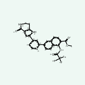 COC(=O)c1ccc2cc(-c3cc(-c4cc5c([nH]4)CCNC5=O)ccn3)ccc2c1OC(=O)C(F)(F)F